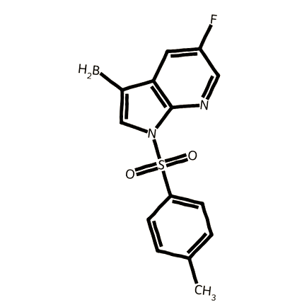 Bc1cn(S(=O)(=O)c2ccc(C)cc2)c2ncc(F)cc12